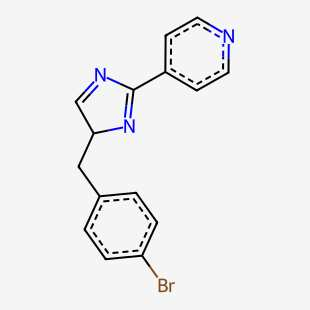 Brc1ccc(CC2C=NC(c3ccncc3)=N2)cc1